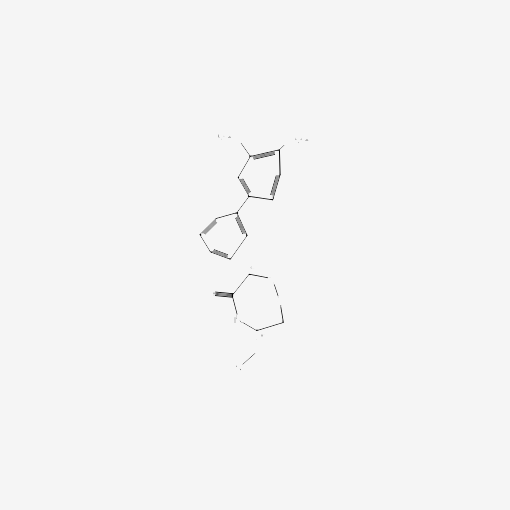 COc1ccc(-c2cccc([C@@H]3SCC[C@H](CN)NC3=O)c2)cc1OC